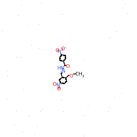 CCOCc1ccc([N+](=O)[O-])cc1/C=N/NC(=O)c1ccc([N+](=O)[O-])cc1